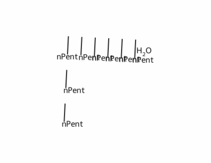 CCCCCC.CCCCCC.CCCCCC.CCCCCC.CCCCCC.CCCCCC.CCCCCC.CCCCCC.O